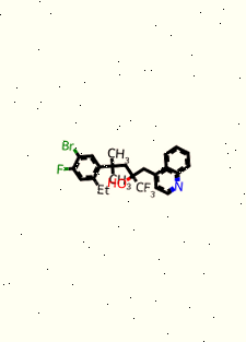 CCc1cc(F)c(Br)cc1C(C)(C)CC(O)(Cc1ccnc2ccccc12)C(F)(F)F